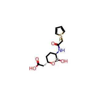 O=C(O)C[C@@H]1CC[C@@H](NC(=O)C[SH]2C=CC=C2)B(O)O1